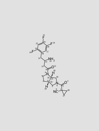 N#CC1(C(=O)N2C[C@@H]3CCN(C(=O)CC(N)Cc4cc(F)c(F)cc4F)[C@@H]3C2)CC1